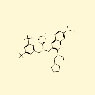 CCN(CC1CCCC1)c1nc2cc(N(C)C)ccc2cc1CN(Cc1cc(C(F)(F)F)cc(C(F)(F)F)c1)c1nnn(C)n1